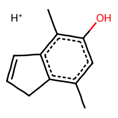 Cc1cc(O)c(C)c2c1CC=C2.[H+]